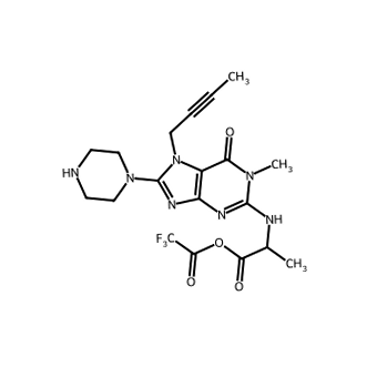 CC#CCn1c(N2CCNCC2)nc2nc(NC(C)C(=O)OC(=O)C(F)(F)F)n(C)c(=O)c21